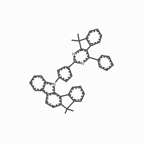 CC1(C)c2ccccc2-c2c1ccc1c3ccccc3n(-c3ccc(-c4nc(-c5ccccc5)c5c(n4)C(C)(C)c4ccccc4-5)cc3)c21